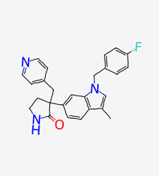 Cc1cn(Cc2ccc(F)cc2)c2cc(C3(Cc4ccncc4)CCNC3=O)ccc12